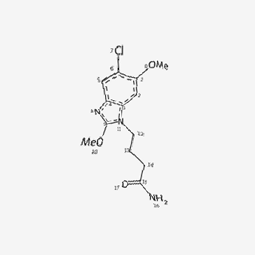 COc1cc2c(cc1Cl)nc(OC)n2CCCC(N)=O